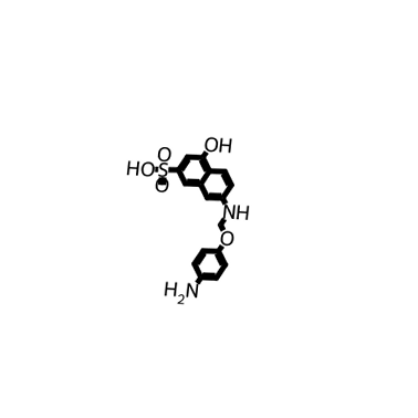 Nc1ccc(OCNc2ccc3c(O)cc(S(=O)(=O)O)cc3c2)cc1